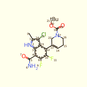 Cc1[nH]c2c(C(N)=O)c(F)c(F)c(C3=CCCN(C(=O)OC(C)(C)C)C3)c2c1Cl